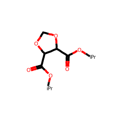 CC(C)OC(=O)C1OCOC1C(=O)OC(C)C